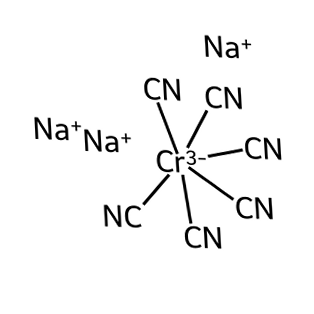 N#[C][Cr-3]([C]#N)([C]#N)([C]#N)([C]#N)[C]#N.[Na+].[Na+].[Na+]